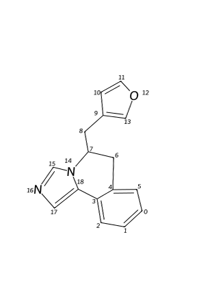 c1ccc2c(c1)CC(Cc1ccoc1)n1cncc1-2